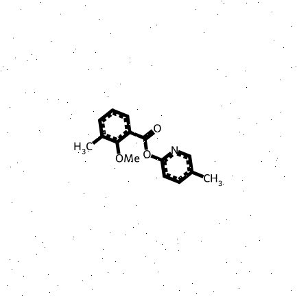 COc1c(C)cccc1C(=O)Oc1ccc(C)cn1